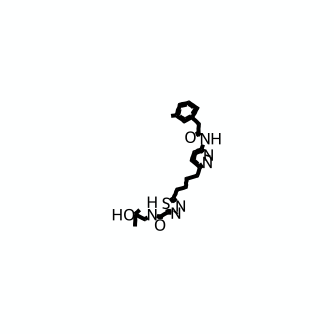 Cc1cccc(CC(=O)Nc2ccc(CCCCc3nnc(C(=O)NCC(C)(C)O)s3)nn2)c1